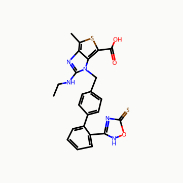 CCNc1nc2c(C)sc(C(=O)O)c2n1Cc1ccc(-c2ccccc2-c2nc(=S)o[nH]2)cc1